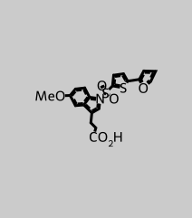 COc1ccc2c(c1)c(CCC(=O)O)cn2S(=O)(=O)c1ccc(-c2ccco2)s1